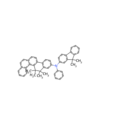 CC1(C)c2ccccc2-c2ccc(N(c3ccccc3)c3ccc4c(c3)C(C)(C)C(C)(C)c3c-4ccc4ccc5ccccc5c34)cc21